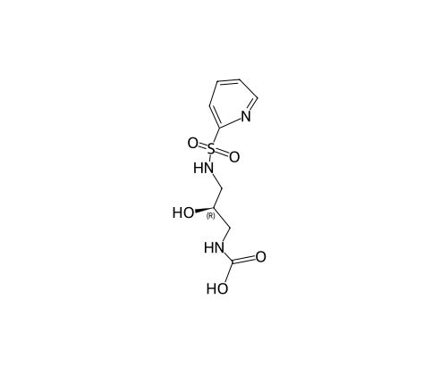 O=C(O)NC[C@@H](O)CNS(=O)(=O)c1ccccn1